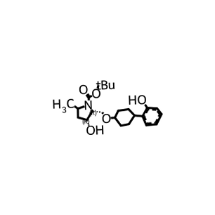 CC1C[C@@H](O)[C@@H](COC2CCC(c3ccccc3O)CC2)N1C(=O)OC(C)(C)C